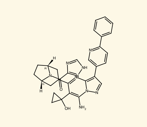 Nc1c(C2(O)CC2)c(C2C[C@H]3CC[C@@H](C2)N3C(=O)c2nc[nH]n2)nc2c(-c3ccc(-c4ccccc4)nc3)cnn12